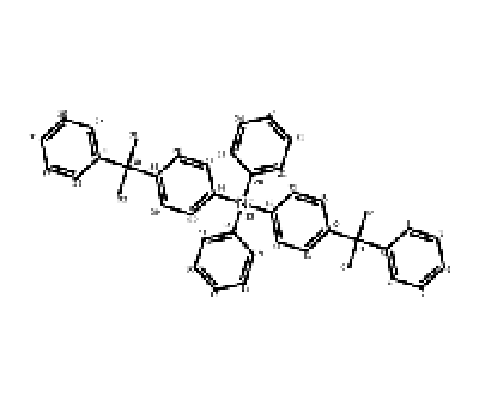 CC(C)(c1ccccc1)c1ccc([N+](c2ccccc2)(c2ccccc2)c2ccc(C(C)(C)c3ccccc3)cc2)cc1